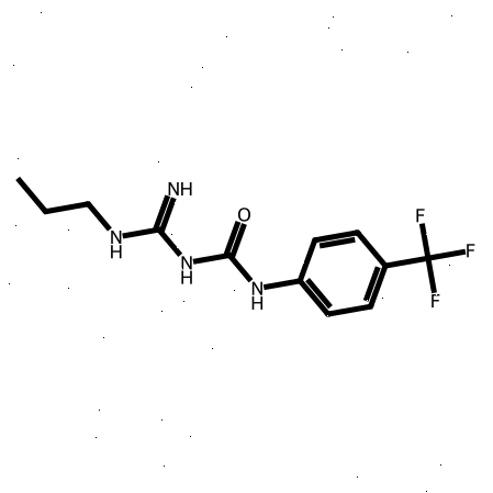 CCCNC(=N)NC(=O)Nc1ccc(C(F)(F)F)cc1